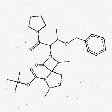 CC(OCc1ccccc1)C(C(=O)N1CCCC1)N1C(=O)C2(CCC(C)N2C(=O)OC(C)(C)C)C1C